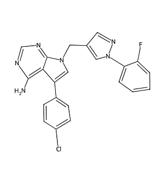 Nc1ncnc2c1c(-c1ccc(Cl)cc1)cn2Cc1cnn(-c2ccccc2F)c1